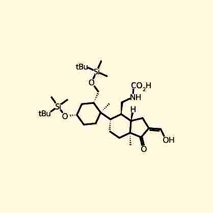 CC(C)(C)[Si](C)(C)OC[C@H]1C[C@@H](O[Si](C)(C)C(C)(C)C)CC[C@]1(C)[C@H]1CC[C@]2(C)C(=O)C(=CO)C[C@H]2[C@@H]1CNC(=O)O